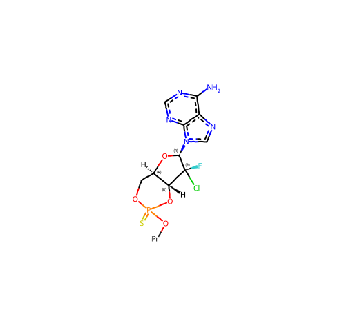 CC(C)OP1(=S)OC[C@H]2O[C@@H](n3cnc4c(N)ncnc43)[C@](F)(Cl)[C@@H]2O1